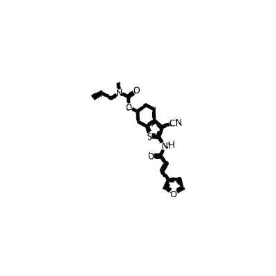 C=CCN(C)C(=O)OC1CCc2c(sc(NC(=O)C=Cc3ccoc3)c2C#N)C1